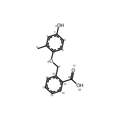 Cc1cc(O)ccc1OCc1ccccc1C(=O)O